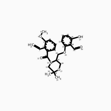 C=Cc1c(OC)cccc1C(=O)N1CC(C)(C)OCC1COc1cccc(O)c1C=O